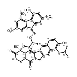 CC[C@@]1(OC(=O)C(C)ON=C2c3cc([N+](=O)[O-])cc([N+](=O)[O-])c3-c3c2cc([N+](=O)[O-])cc3[N+](=O)[O-])C(=O)OCc2c1cc1n(c2=O)Cc2cc3c(CN(C)C)c(O)ccc3nc2-1